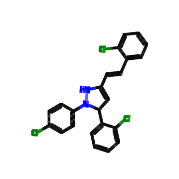 Clc1ccc(N2NC(C=Cc3ccccc3Cl)=CC2c2ccccc2Cl)cc1